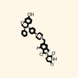 O=C1CCC(N2Cc3cc(CN4CCN(c5ccc([C@@H]6c7ccc(O)cc7OC[C@@H]6c6ccccc6)cc5)CC4)cc(F)c3C2=O)C(=O)N1